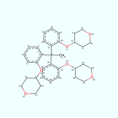 CC(c1ccccc1OC1CCOCC1)(c1ccccc1OC1CCOCC1)c1ccccc1OC1CCOCC1